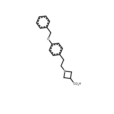 O=C(O)C1CN(CCc2ccc(OCc3ccccc3)cc2)C1